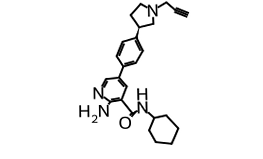 C#CCN1CC[C@H](c2ccc(-c3cnc(N)c(C(=O)NC4CCCCC4)c3)cc2)C1